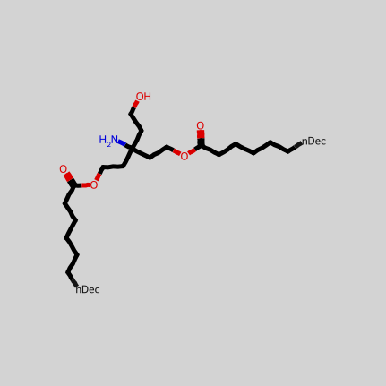 CCCCCCCCCCCCCCCC(=O)OCCC(N)(CCO)CCOC(=O)CCCCCCCCCCCCCCC